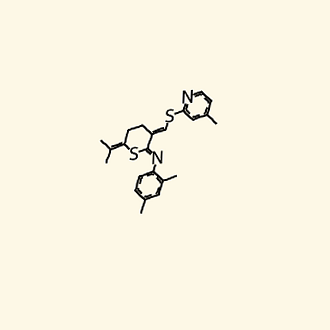 CC(C)=C1CCC(=C\Sc2cc(C)ccn2)/C(=N/c2ccc(C)cc2C)S1